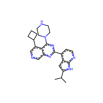 CC(C)c1cc2c(-c3nc(N4CCNCC4)c4c(C5CCC5)cncc4n3)ccnc2[nH]1